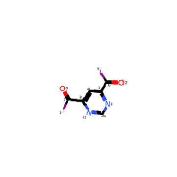 O=C(I)c1cc(C(=O)I)ncn1